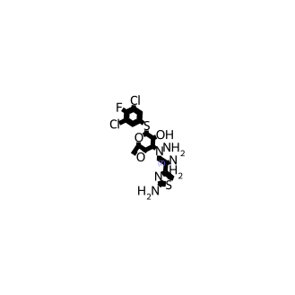 N/C(=C\N(N)C1C(O)C(Sc2cc(Cl)c(F)c(Cl)c2)OC2COC21)c1csc(N)n1